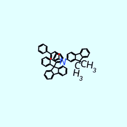 CC1(C)c2ccccc2-c2ccc(N(c3ccc(-c4ccccc4)cc3)c3cccc4c3C(c3ccccc3)(c3ccccc3)c3ccccc3-4)cc21